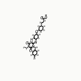 CCn1c(=O)[nH]/c(=N\c2ccc(Oc3cccc(/C=C/C(=O)OC)c3)cc2)n(Cc2ccc(C)cc2)c1=O